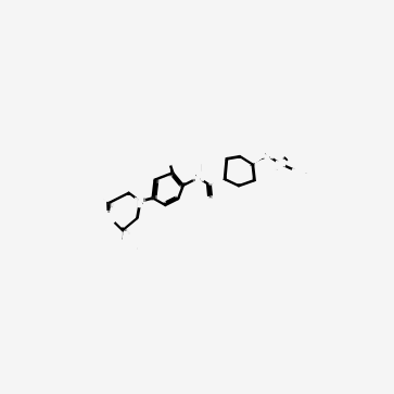 C[C@@H]1CN(c2ccc(NC(=O)[C@H]3CC[C@H](NS(=O)(=O)C(C)(C)C)CC3)c(F)c2)C[C@H](C)O1